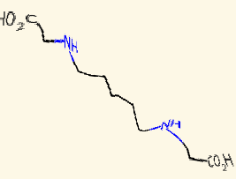 O=C(O)CNCCCCCNCC(=O)O